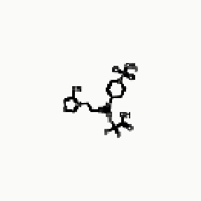 CS(=O)(=O)N1CCC(n2on2CCN2CSCC2C#N)CC1.O=C(O)C(F)(F)F